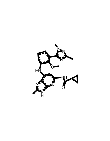 COc1c(Nc2cc(NC(=O)C3CC3)nc3[nH]c(C)nc23)cccc1-c1nc(C)nn1C